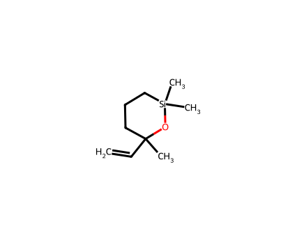 C=CC1(C)CCC[Si](C)(C)O1